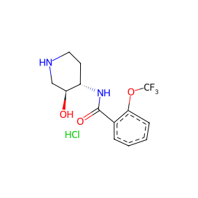 Cl.O=C(N[C@H]1CCNC[C@@H]1O)c1ccccc1OC(F)(F)F